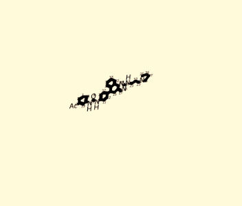 CC(=O)c1cccc(NC(=O)Nc2ccc(C3Cc4cnc(NCCCN5CCCC5)nc4-c4ccccc43)cc2)c1